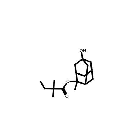 CCC(C)(C)C(=O)OC1(C)C2CC3CC1CC(O)(C3)C2